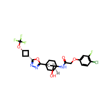 O=C(COc1ccc(Cl)c(F)c1)NC12CCC(c3nnc([C@H]4C[C@@H](OC(F)(F)F)C4)o3)(CC1)C[C@@H]2O